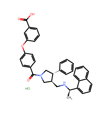 C[C@@H](NC[C@H]1CN(C(=O)c2ccc(Oc3cccc(C(=O)O)c3)cc2)C[C@@H]1c1ccccc1)c1cccc2ccccc12.Cl